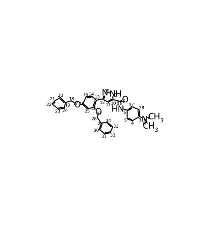 CN(C)c1ccc(NC(=O)c2cc(-c3ccc(OCc4ccccc4)cc3OCc3ccccc3)n[nH]2)cc1